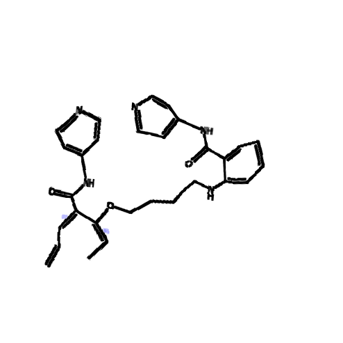 C=C/C=C(C(=O)Nc1ccncc1)\C(=C/C)OCCCCNc1ccccc1C(=O)Nc1ccncc1